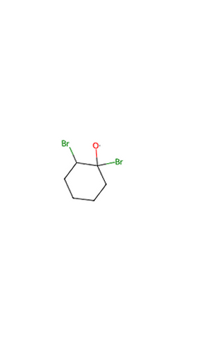 [O]C1(Br)CCCCC1Br